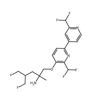 CC(N)(COc1ccc(-c2ccnc(C(F)F)c2)nc1C(F)F)CC(CF)CF